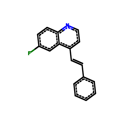 Fc1ccc2nccc(C=Cc3ccccc3)c2c1